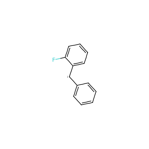 Fc1ccccc1[C]c1ccccc1